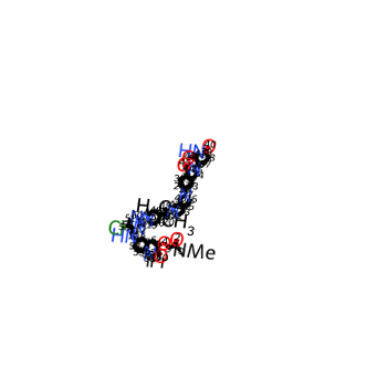 CNC(=O)COc1cc2cc(Nc3nc(N4CCC(C(C)(C)N5CCC6(CCN(c7ccc8c(c7)CN(C7CCC(=O)NC7=O)C8=O)C6)C5)CC4)ncc3Cl)ccc2n(C(C)C)c1=O